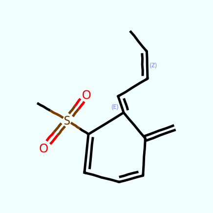 C=c1cccc(S(C)(=O)=O)/c1=C/C=C\C